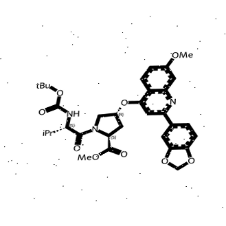 COC(=O)[C@@H]1C[C@@H](Oc2cc(-c3ccc4c(c3)OCO4)nc3cc(OC)ccc23)CN1C(=O)[C@@H](NC(=O)OC(C)(C)C)C(C)C